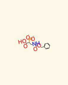 COP(OC)C(CNC(=O)OCc1ccccc1)C(=O)O